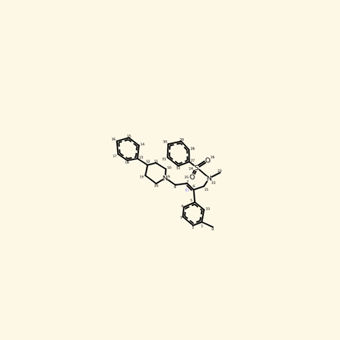 Cc1cccc(/C(=C\CN2CCC(c3ccccc3)CC2)CN(C)S(=O)(=O)c2ccccc2)c1